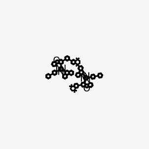 CC1(C)CCC(C)(C)c2cc(-c3cc(-c4nc(-c5ccc(-c6ccccc6)cc5)nc(-c5cc6ccc(C7(C)CCC(C)(C)c8cc(-c9cccc(-c%10cc(-c%11nc(-c%12ccc(-c%13ccccc%13)cc%12)nc(-c%12cc%13ccccc%13c%13ccccc%12%13)n%11)c%11c(c%10)oc%10ccccc%10%11)c9)ccc87)cc6c6ccccc56)n4)c4c(c3)oc3ccccc34)ccc21